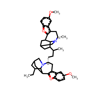 CCC1CC2CC3c4oc5ccc(OC)cc5c4C[C@@H](CCC(C)C4CC5CC6c7oc8ccc(OC)cc8c7C[C@H](C)N(C5)C64)N(C2)C13